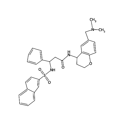 CN(C)Cc1ccc2c(c1)C(NC(=O)CC(NS(=O)(=O)c1ccc3ccccc3c1)c1ccccc1)CCO2